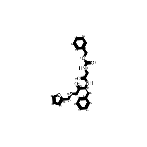 O=C(CNC(=O)OCc1ccccc1)N[C@@H](Cc1ccccc1)C(=O)CSCc1ccco1